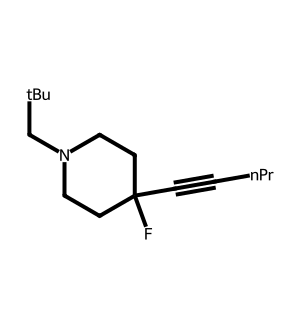 CCCC#CC1(F)CCN(CC(C)(C)C)CC1